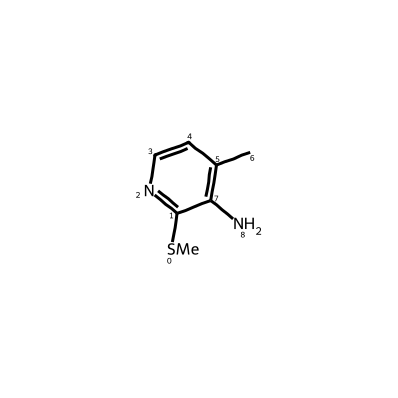 CSc1nccc(C)c1N